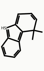 CC1(C)C=CC=C2[SiH]=c3ccccc3=C21